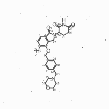 [2H]c1ccc2c(c1OCc1ccc(CN3CCOCC3)cc1)CN(C1CCC(=O)NC1=O)C2=O